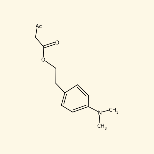 CC(=O)CC(=O)OCCc1ccc(N(C)C)cc1